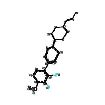 C/C=C/C1CCC(c2ccc(-c3ccc(OC)c(F)c3F)cc2)CC1